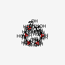 C=CC(=O)O.OC[C@H]1O[C@@H]2O[C@H]3[C@H](O)[C@@H](O)[C@@H](O[C@H]4[C@H](O)[C@@H](O)[C@@H](O[C@H]5[C@H](O)[C@@H](O)[C@@H](O[C@H]6[C@H](O)[C@@H](O)[C@@H](O[C@H]7[C@H](O)[C@@H](O)[C@@H](O[C@H]1[C@H](O)[C@H]2O)O[C@@H]7CO)O[C@@H]6CO)O[C@@H]5CO)O[C@@H]4CO)O[C@@H]3CO